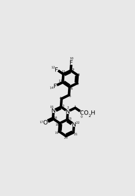 O=C(O)Cn1c(CCc2ccc(F)c(F)c2F)nc(=O)c2cccnc21